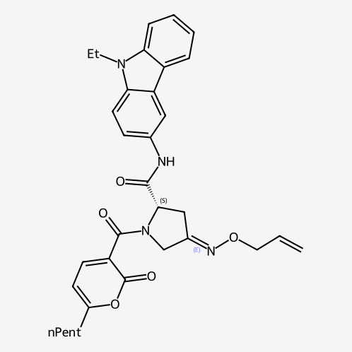 C=CCO/N=C1\C[C@@H](C(=O)Nc2ccc3c(c2)c2ccccc2n3CC)N(C(=O)c2ccc(CCCCC)oc2=O)C1